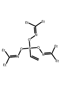 C=C[Si](ON=C(CC)CC)(ON=C(CC)CC)ON=C(CC)CC